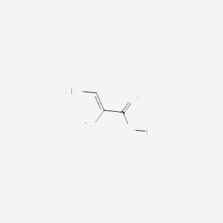 CCOC(=O)/C(=C/O)C(C)=O